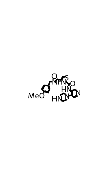 COc1ccc(CNC(=O)c2csc(C(=O)Nc3cnccc3N3CCNCC3)n2)cc1